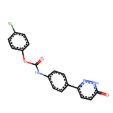 O=C(Nc1ccc(-c2ccc(=O)[nH]n2)cc1)Oc1ccc(Cl)cc1